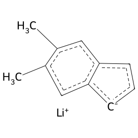 Cc1cc2cc[cH-]c2cc1C.[Li+]